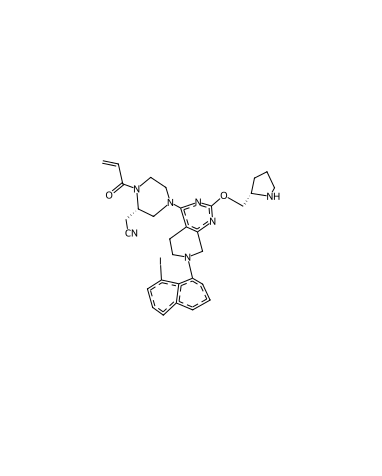 C=CC(=O)N1CCN(c2nc(OC[C@@H]3CCCN3)nc3c2CCN(c2cccc4cccc(I)c24)C3)C[C@@H]1CC#N